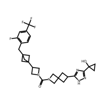 O=C(N1CC(C23CC(Cc4ccc(C(F)(F)F)cc4F)(C2)C3)C1)N1CC2(CC(c3nc(C4(O)CC4)n[nH]3)C2)C1